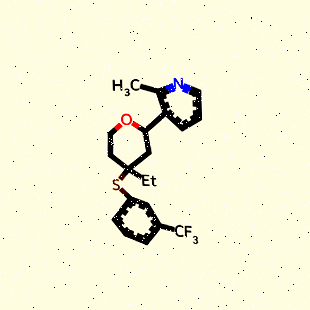 CCC1(Sc2cccc(C(F)(F)F)c2)CCOC(c2cccnc2C)C1